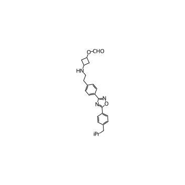 CC(C)Cc1ccc(-c2nc(-c3ccc(CCNC4CC(OC=O)C4)cc3)no2)cc1